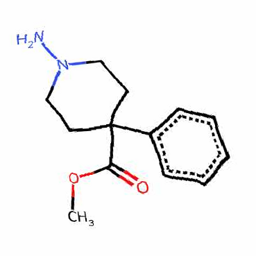 COC(=O)C1(c2ccccc2)CCN(N)CC1